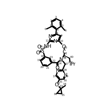 Cc1cccc(C)c1-c1cc2nc(n1)NS(=O)(=O)c1cccc(c1)C(=O)N(Cc1ncc(OC3(C)CC3)cn1)[C@H](CC(C)C)CO2